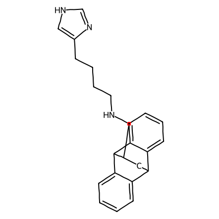 c1ccc2c(c1)C1CC(CNCCCCc3c[nH]cn3)C2c2ccccc21